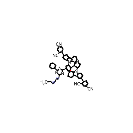 C=C/C=C\C=C\c1nc(-c2ccccc2)nc(-c2ccc(-c3cnccc3-n3c4ccccc4c4cc(-c5ccc(C#N)cc5C#N)ccc43)c(-n3c4ccccc4c4cc(-c5ccc(C#N)cc5C#N)ccc43)c2)n1